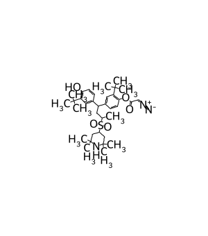 CC(CC(c1ccc(O)c(C(C)(C)C)c1)c1ccc(OC(=O)C=[N+]=[N-])c(C(C)(C)C)c1)S(=O)(=O)C1CC(C)(C)NC(C)(C)C1